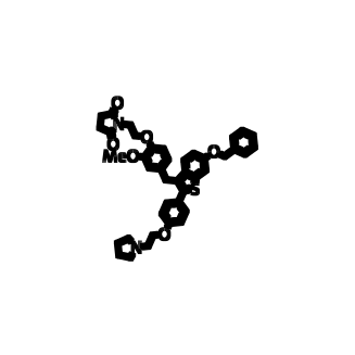 COc1cc(Cc2c(-c3ccc(OCCN4CCCC4)cc3)sc3cc(OCc4ccccc4)ccc23)ccc1OCCN1C(=O)CCC1=O